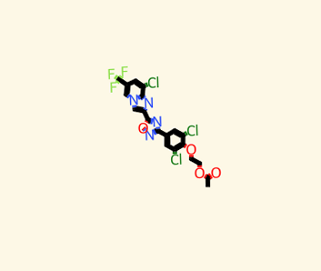 CC(=O)OCCOc1c(Cl)cc(-c2noc(-c3cn4cc(C(F)(F)F)cc(Cl)c4n3)n2)cc1Cl